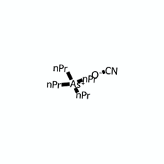 CCC[As+](CCC)(CCC)CCC.N#C[O-]